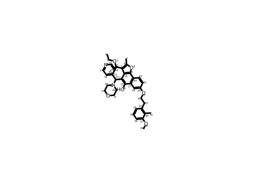 CCOC(=O)c1c(C)oc2c1c(C(c1ccncc1)N1CCOCC1)c(O)c1cc(OCCc3cccc(OC)c3C)ccc12